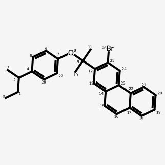 CCC(C)c1ccc(OC(C)(C)c2cc3ccc4ccccc4c3cc2Br)cc1